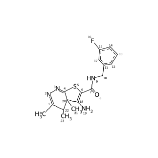 CC1=NN=C2SC(C(=O)NCc3cccc(F)c3)=C(N)C2(C)C1C